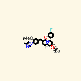 COc1cc(/C=C2\CC[C@@H]3C[C@@](C)(O[Si](C)(C)C(C)(C)C)C[C@@H](c4ccc(F)cc4)N3C2=O)ccc1-n1cnc(C)c1